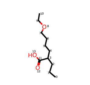 CCCC(CCCCOCC)C(=O)O